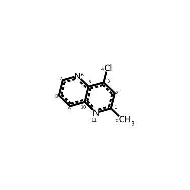 Cc1cc(Cl)c2ncccc2n1